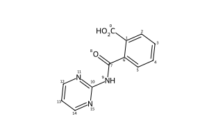 O=C(O)c1ccccc1C(=O)Nc1ncccn1